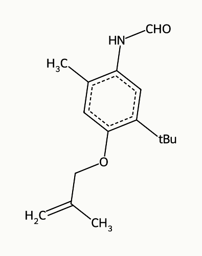 C=C(C)COc1cc(C)c(NC=O)cc1C(C)(C)C